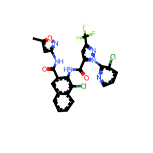 Cc1cc(NC(=O)c2cc3ccccc3c(Cl)c2NC(=O)c2cc(C(F)(F)F)nn2-c2ncccc2Cl)no1